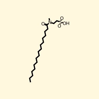 CCCCCCCCCCCCCCCCCC(=O)N(C)CCS(=O)(=O)O